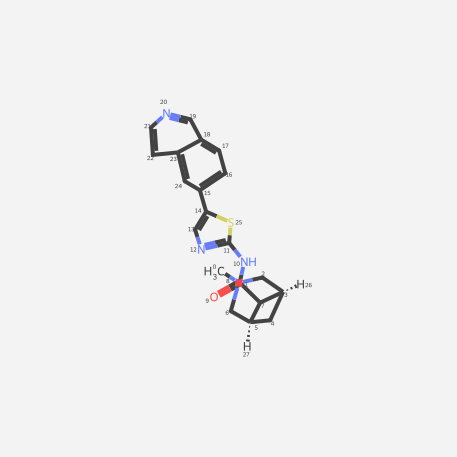 CN1C[C@H]2C[C@@H](C1)C2C(=O)Nc1ncc(-c2ccc3cnccc3c2)s1